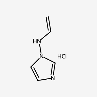 C=CNn1ccnc1.Cl